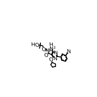 CC(C)(O)CONC(=O)c1c(N)nc(-c2cccc(C#N)c2)nc1OC1CCCC1